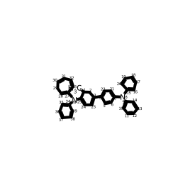 CC1CC(c2ccc(N(c3ccccc3)c3ccccc3)cc2)=CC=C1N(C1=CCC=CC=C1)c1ccccc1